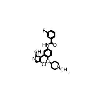 CN1CCC(Oc2ccc(NC(=O)c3cccc(F)c3)cc2-c2c(Cl)cnn2C)CC1